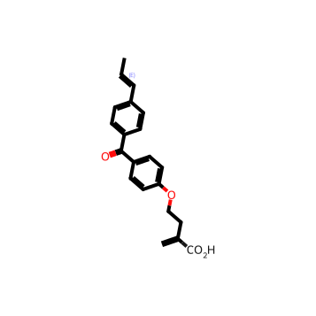 C=C(CCOc1ccc(C(=O)c2ccc(/C=C/C)cc2)cc1)C(=O)O